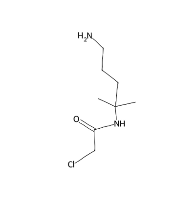 CC(C)(CCCN)NC(=O)CCl